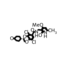 COc1cc(C)[nH]c(=O)c1CNC(=O)c1cc(Cl)c2c(c1Cl)O[C@@H](C1CCC(=O)CC1)CO2